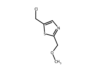 COCc1ncc(CCl)s1